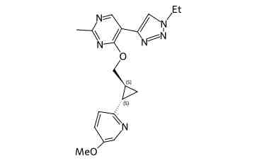 CCn1cc(-c2cnc(C)nc2OC[C@H]2C[C@@H]2c2ccc(OC)cn2)nn1